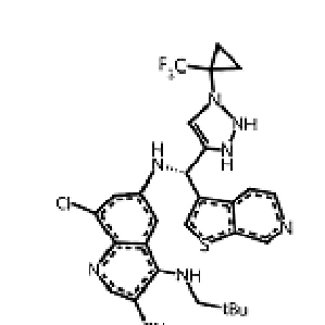 CC(C)(C)CNc1c(C#N)cnc2c(Cl)cc(N[C@H](C3=CN(C4(C(F)(F)F)CC4)NN3)c3csc4cnccc34)cc12